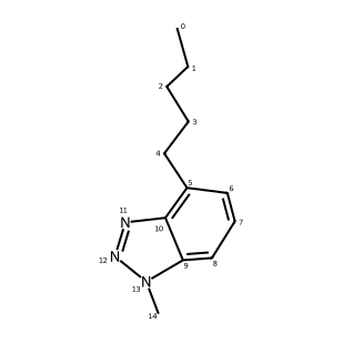 CCCCCc1cccc2c1nnn2C